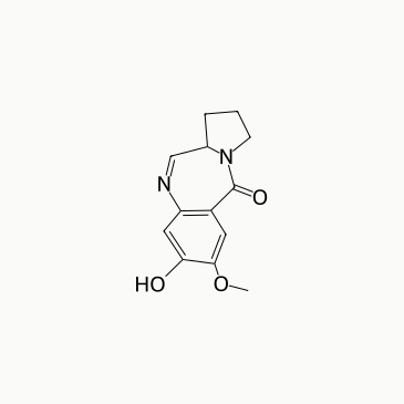 COc1cc2c(cc1O)N=CC1CCCN1C2=O